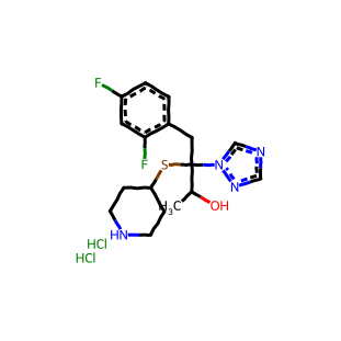 CC(O)C(Cc1ccc(F)cc1F)(SC1CCNCC1)n1cncn1.Cl.Cl